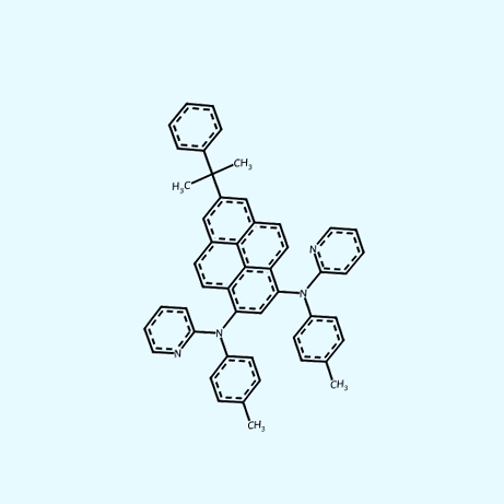 Cc1ccc(N(c2ccccn2)c2cc(N(c3ccc(C)cc3)c3ccccn3)c3ccc4cc(C(C)(C)c5ccccc5)cc5ccc2c3c54)cc1